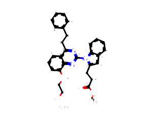 COCCOc1cccc2c(CCc3ccccc3)nc(-n3c(CCC(=O)OC)cc4ccccc43)nc12